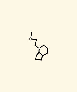 COCCN1CCCC2CCCC21